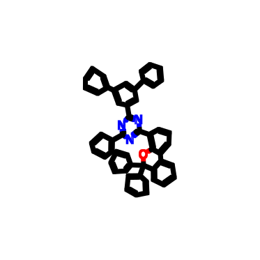 c1ccc(-c2cc(-c3ccccc3)cc(-c3nc(-c4ccccc4)nc(-c4cccc5c4OC(c4ccccc4)(c4ccccc4)c4ccccc4-5)n3)c2)cc1